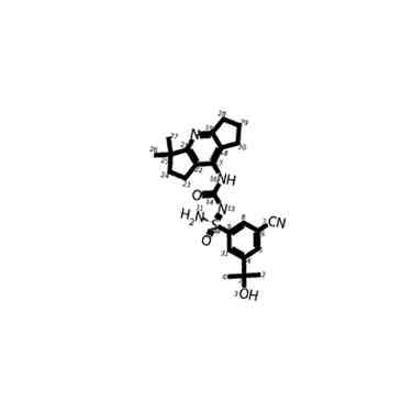 CC(C)(O)c1cc(C#N)cc([S@@](N)(=O)=NC(=O)Nc2c3c(nc4c2CCC4(C)C)CCC3)c1